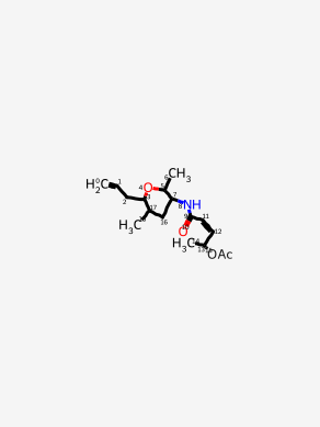 C=CCC1OC(C)C(NC(=O)/C=C\C(C)OC(C)=O)CC1C